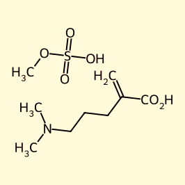 C=C(CCCN(C)C)C(=O)O.COS(=O)(=O)O